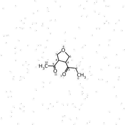 CCC(=O)C1COCC1C(C)=O